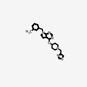 Cc1cccc(Cn2ccc3c(OC4CCN(Cc5cscn5)CC4)ncnc32)c1